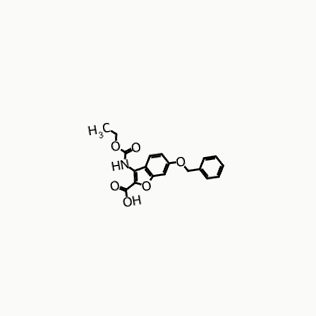 CCOC(=O)Nc1c(C(=O)O)oc2cc(OCc3ccccc3)ccc12